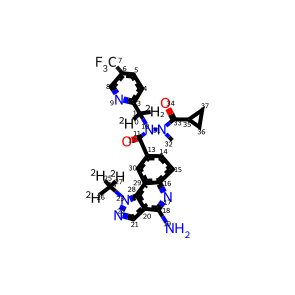 [2H]C([2H])(c1ccc(C(F)(F)F)cn1)N(C(=O)c1ccc2nc(N)c3cnn(C([2H])([2H])[2H])c3c2c1)N(C)C(=O)C1CC1